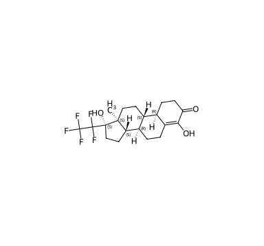 C[C@]12CC[C@H]3[C@@H](CCC4=C(O)C(=O)CC[C@@H]43)[C@@H]1CC[C@@]2(O)C(F)(F)C(F)(F)F